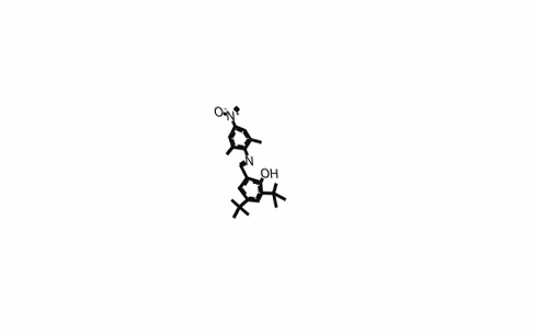 C=[N+]([O-])c1cc(C)c(/N=C/c2cc(C(C)(C)C)cc(C(C)(C)C)c2O)c(C)c1